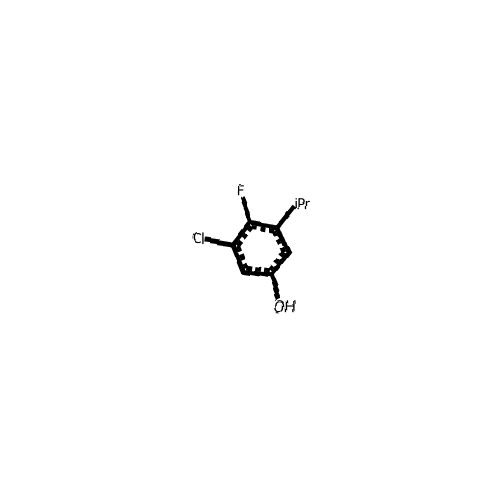 CC(C)c1cc(O)cc(Cl)c1F